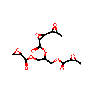 CC1OC1C(=O)OCC(COC(=O)C1CO1)OC(=O)C1OC1C1OC1C